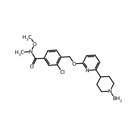 BN1CCC(c2cccc(OCc3ccc(C(=O)N(C)OC)cc3Cl)n2)CC1